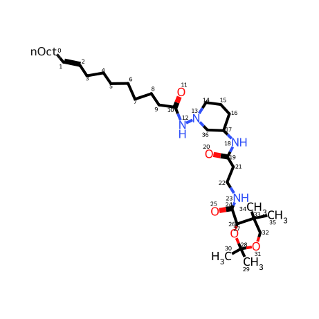 CCCCCCCC/C=C/CCCCCCCC(=O)NN1CCCC(NC(=O)CCNC(=O)C2OC(C)(C)OCC2(C)C)C1